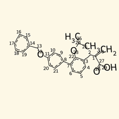 C=C(Cc1cccc(-c2ccc(OCc3ccccc3)cc2)c1OC(C)C)C(=O)O